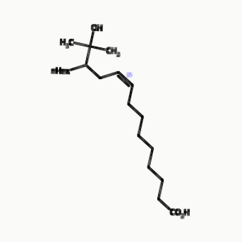 CCCCCCC(C/C=C\CCCCCCCC(=O)O)C(C)(C)O